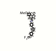 COc1cc(C)c(N2C(=O)CSC2N/N=C/c2ccc(-c3ncn(-c4ccc(OC(F)(F)F)cc4)n3)cc2)c(C)c1